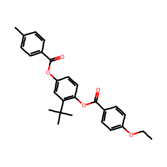 CCOc1ccc(C(=O)Oc2ccc(OC(=O)c3ccc(C)cc3)cc2C(C)(C)C)cc1